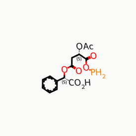 CC(=O)O[C@@H](CC(=O)O[C@H](C(=O)O)c1ccccc1)C(=O)OP